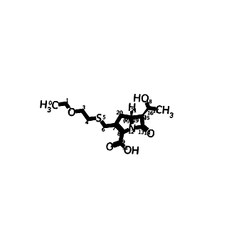 CCOCCSCC1=C(C(=O)O)N2C(=O)[C@H](C(C)O)[C@H]2C1